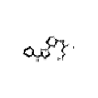 CC(CSC(C)(C)C)Nc1cc(-n2cnc(Nc3ccccc3)n2)ccn1